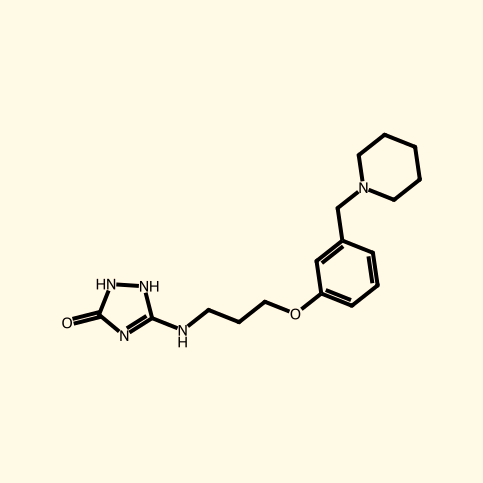 O=c1nc(NCCCOc2cccc(CN3CCCCC3)c2)[nH][nH]1